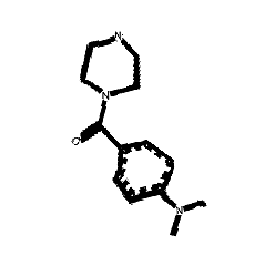 CN(C)c1ccc(C(=O)N2CC[N]CC2)cc1